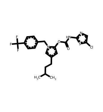 CC(C)CCc1cc(OC(=O)Nc2ncc(Cl)s2)n(Cc2ccc(C(F)(F)F)cc2)c1